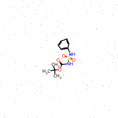 CC(C)(C)OC(=O)NS(=O)(=O)Nc1ccccc1